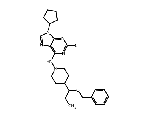 CCC(OCc1ccccc1)C1CCN(Nc2nc(Cl)nc3c2ncn3C2CCCC2)CC1